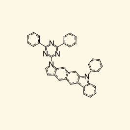 c1ccc(-c2nc(-c3ccccc3)nc(-n3ccc4cc5cc6c7ccccc7n(-c7ccccc7)c6cc5cc43)n2)cc1